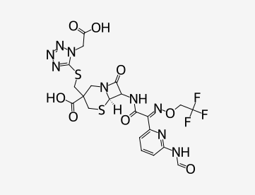 O=CNc1cccc(C(=NOCC(F)(F)F)C(=O)NC2C(=O)N3CC(CSc4nnnn4CC(=O)O)(C(=O)O)CS[C@H]23)n1